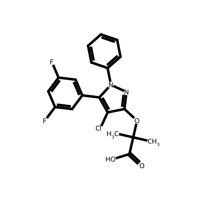 CC(C)(Oc1nn(-c2ccccc2)c(-c2cc(F)cc(F)c2)c1Cl)C(=O)O